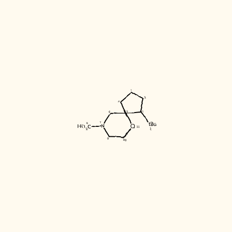 CC(C)(C)C1CCCC12CN(C(=O)O)CCO2